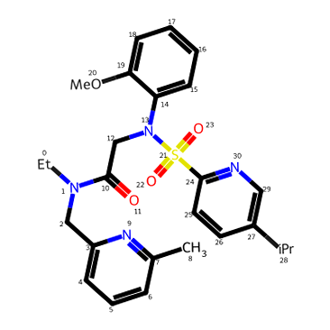 CCN(Cc1cccc(C)n1)C(=O)CN(c1ccccc1OC)S(=O)(=O)c1ccc(C(C)C)cn1